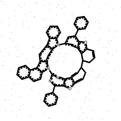 C1=Cc2oc3c(-c4ccccc4)cc4cc3c2C(C1)C1C=c2c(oc3c(-c5ccccc5)nc(nc23)-n2c3cc5c(cc3c3c6ccccc6ccc32)c2ccccc2n5-4)=CC1